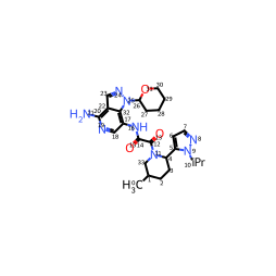 CC1CCC(c2ccnn2C(C)C)N(C(=O)C(=O)Nc2cnc(N)c3cnn(C4CCCCO4)c23)C1